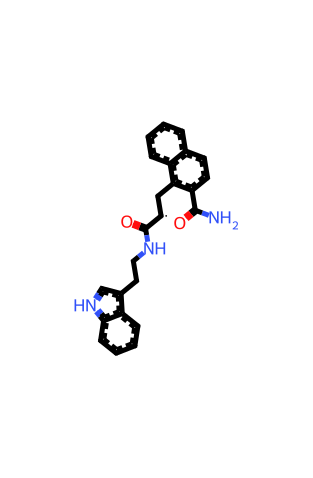 NC(=O)c1ccc2ccccc2c1C[CH]C(=O)NCCc1c[nH]c2ccccc12